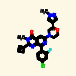 Cn1cc([C@@H]2CN(c3cc4c(=O)n(C)c(C56CC(C5)C6)nc4c(-c4ccc(Cl)cc4F)n3)CCO2)cn1